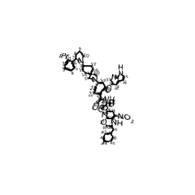 CC(C)c1ccccc1C1CCCN1C1CCC2(CC1)CN(c1ccc(C(=O)NS(=O)(=O)c3cc([N+](=O)[O-])c4c(n3)OC[C@H](Cc3ccccc3)N4)c(Oc3cnc4[nH]ccc4c3)c1)C2